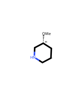 CO[C@@H]1C[CH]CNC1